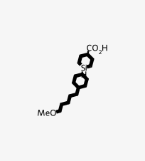 COCCCCCC1CCC([Si@H]2CC[C@H](C(=O)O)CC2)CC1